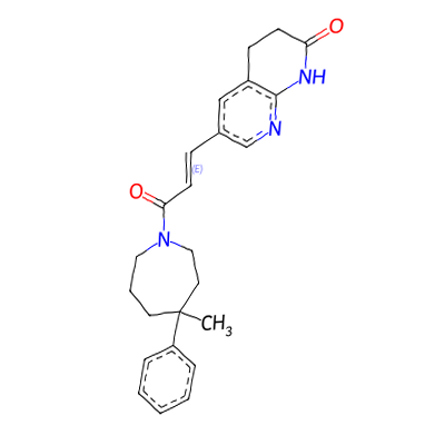 CC1(c2ccccc2)CCCN(C(=O)/C=C/c2cnc3c(c2)CCC(=O)N3)CC1